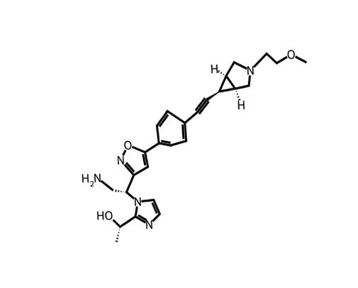 COCCN1C[C@@H]2[C@H](C#Cc3ccc(-c4cc([C@@H](CN)n5ccnc5[C@H](C)O)no4)cc3)[C@@H]2C1